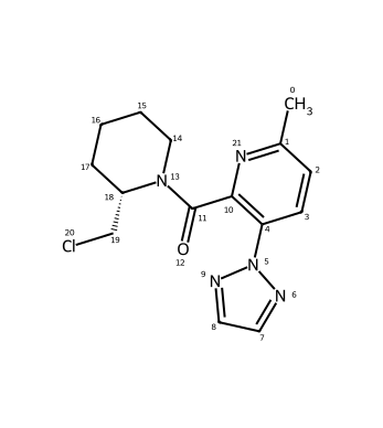 Cc1ccc(-n2nccn2)c(C(=O)N2CCCC[C@H]2CCl)n1